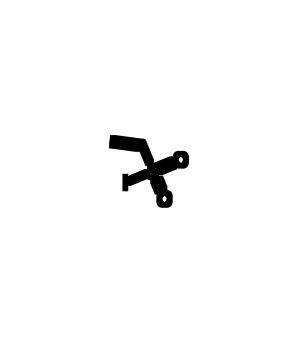 C=CS(=O)(=O)I